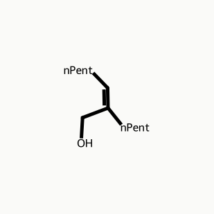 CCCCCC=C(CO)CCCCC